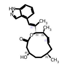 C/C(=C\c1cccc2[nH]ncc12)[C@H]1OC(=O)C[C@H](O)CC[C@H](C)C/C=C/[C@@H]1C